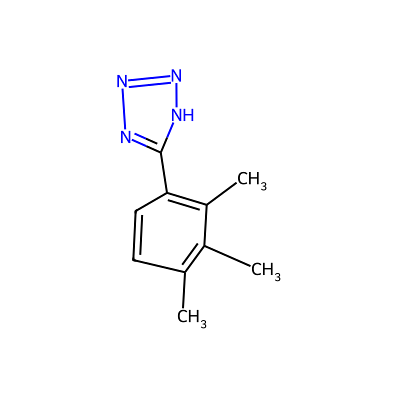 Cc1ccc(-c2nnn[nH]2)c(C)c1C